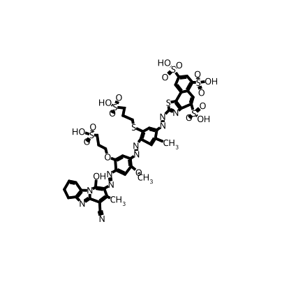 COc1cc(N=Nc2c(C)c(C#N)c3nc4c(n3c2O)C=CCC4)c(OCCCS(=O)(=O)O)cc1N=Nc1cc(C)c(N=Nc2nc3c(S(=O)(=O)O)cc4c(S(=O)(=O)O)cc(S(=O)(=O)O)cc4c3s2)cc1SCCCS(=O)(=O)O